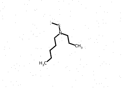 [C]SN(CCC)CCCCC